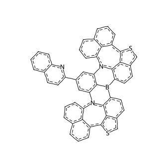 c1ccc2nc(-c3cc4c5c(c3)-n3c6cccc7cccc(c8scc9ccc(c3c98)B5c3ccc5csc8c9cccc%10cccc(c%109)n-4c3c58)c76)ccc2c1